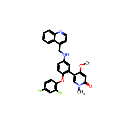 CCOc1cc(=O)n(C)cc1-c1cc(NCc2ccnc3ccccc23)ccc1Oc1ccc(F)cc1F